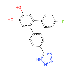 Oc1cc(-c2ccc(F)cc2)c(-c2ccc(-c3nnn[nH]3)cc2)cc1O